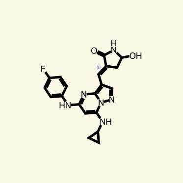 O=C1NC(O)C/C1=C\c1cnn2c(NC3CC3)cc(Nc3ccc(F)cc3)nc12